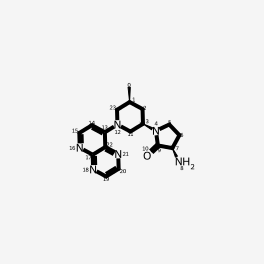 C[C@H]1C[C@@H](N2CC[C@@H](N)C2=O)CN(c2ccnc3nccnc23)C1